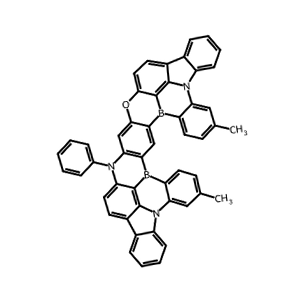 Cc1ccc2c(c1)-n1c3ccccc3c3ccc4c(c31)B2c1cc2c(cc1O4)N(c1ccccc1)c1ccc3c4ccccc4n4c3c1B2c1ccc(C)cc1-4